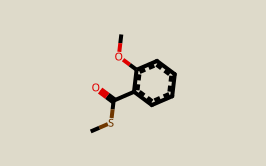 COc1ccccc1C(=O)SC